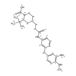 CNc1ccc(Oc2ccnc(NC(=O)CCC3CCN(C(=O)O)C(C(C)(C)C)C3)c2)cc1N